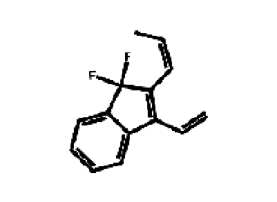 C=CC1=C(/C=C\C)C(F)(F)c2ccccc21